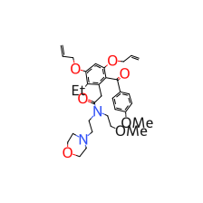 C=CCOc1cc(OCC=C)c(C(=O)c2ccc(OC)cc2)c(CC(=O)N(CCOC)CCN2CCOCC2)c1CC